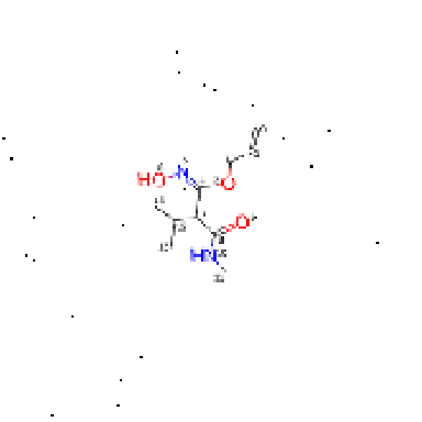 C=CCOC(=NO)C(C(=O)NC)C(C)C